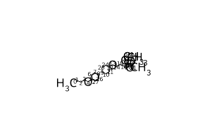 CCCCOc1ccc([C@H]2CC[C@H](OCCC[Si](OC)(OC)OC)CC2)cc1